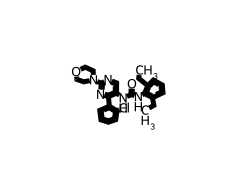 CCc1cccc(CC)c1NC(=O)Nc1cnc(N2CCOCC2)nc1-c1ccccc1Cl